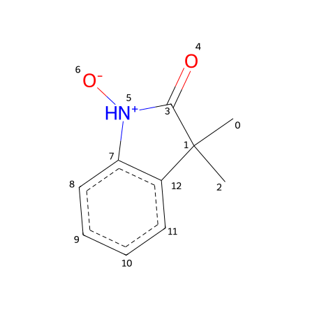 CC1(C)C(=O)[NH+]([O-])c2ccccc21